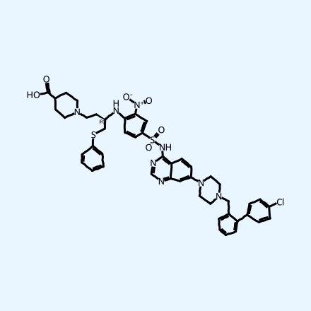 O=C(O)C1CCN(CC[C@H](CSc2ccccc2)Nc2ccc(S(=O)(=O)Nc3ncnc4cc(N5CCN(Cc6ccccc6-c6ccc(Cl)cc6)CC5)ccc34)cc2[N+](=O)[O-])CC1